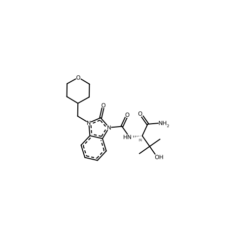 CC(C)(O)[C@H](NC(=O)n1c(=O)n(CC2CCOCC2)c2ccccc21)C(N)=O